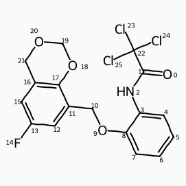 O=C(Nc1ccccc1OCc1cc(F)cc2c1OCOC2)C(Cl)(Cl)Cl